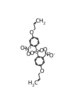 C=CCOc1ccc(S(=O)(=O)c2ccc(OCC=C)cc2[N+](=O)[O-])c([N+](=O)[O-])c1